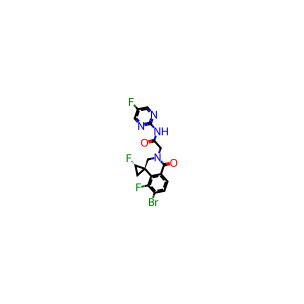 O=C(CN1C[C@]2(C[C@@H]2F)c2c(ccc(Br)c2F)C1=O)Nc1ncc(F)cn1